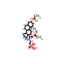 CC(=O)O[C@@H]1CC[C@@]2(C)C(CCC3C2C[C@H](OC(C)=O)[C@]2(C(=O)NCCS(=O)(=O)O)CCCC32)C1